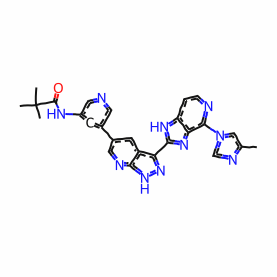 Cc1cn(-c2nccc3[nH]c(-c4n[nH]c5ncc(-c6cncc(NC(=O)C(C)(C)C)c6)cc45)nc23)cn1